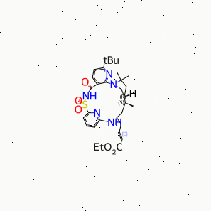 CCOC(=O)/C=C/CC1C[C@H](C)[C@@H]2CN(c3nc(C(C)(C)C)ccc3C(=O)NS(=O)(=O)c3cccc(n3)N1)C(C)(C)C2